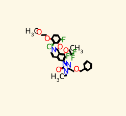 CCn1c(COCc2ccccc2)nn(-c2cc(O[C@@H](C)C(F)(F)F)c3c(Oc4c(F)ccc(OCCOC)c4Cl)nccc3c2)c1=O